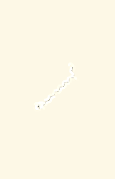 CCCCC(C)CCCCCCCCCCCC=C=O